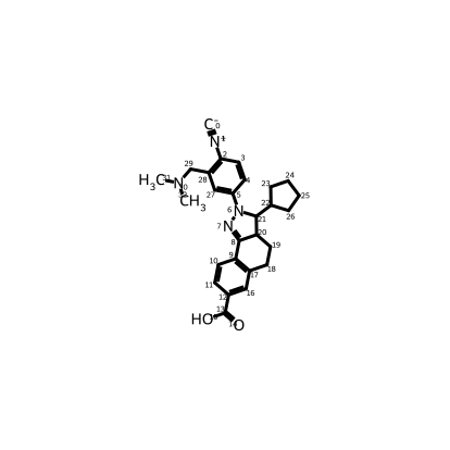 [C-]#[N+]c1ccc(N2N=C3c4ccc(C(=O)O)cc4CCC3C2C2CCCC2)cc1CN(C)C